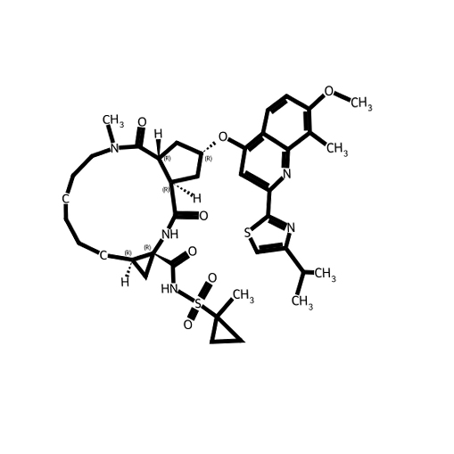 COc1ccc2c(O[C@@H]3C[C@H]4C(=O)N[C@]5(C(=O)NS(=O)(=O)C6(C)CC6)C[C@H]5CCCCCCN(C)C(=O)[C@@H]4C3)cc(-c3nc(C(C)C)cs3)nc2c1C